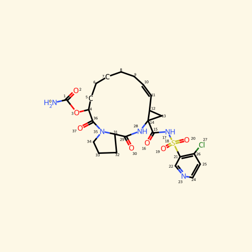 NC(=O)OC1CCCCC/C=C\C2CC2(C(=O)NS(=O)(=O)c2cnccc2Cl)NC(=O)C2CCCN2C1=O